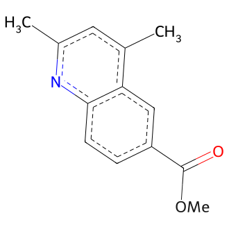 COC(=O)c1ccc2nc(C)cc(C)c2c1